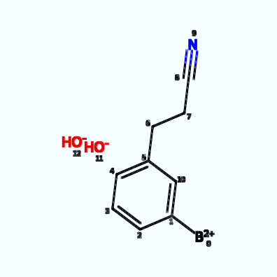 [B+2]c1cccc(CCC#N)c1.[OH-].[OH-]